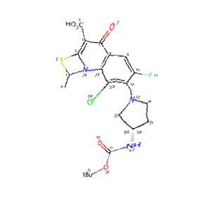 CC1Sc2c(C(=O)O)c(=O)c3cc(F)c(N4CC[C@H](NC(=O)OC(C)(C)C)C4)c(Cl)c3n21